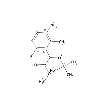 COC(=O)C(OC(C)(C)C)c1c(F)ccc(N)c1C